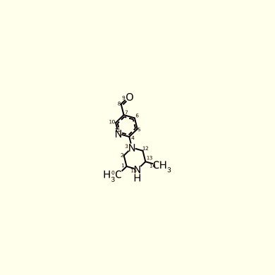 CC1CN(c2ccc(C=O)cn2)CC(C)N1